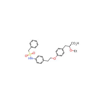 CCO[C@@H](Cc1ccc(OCCc2ccc(NS(=O)(=O)Cc3ccccc3)cc2)cc1)C(=O)O